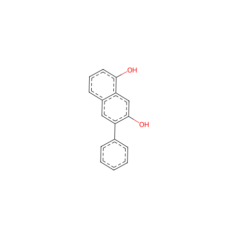 Oc1cc2c(O)cccc2cc1-c1ccccc1